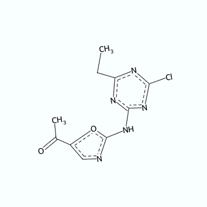 CCc1nc(Cl)nc(Nc2ncc(C(C)=O)o2)n1